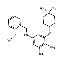 C[C@]1(N)CC[C@@H](Cc2nc(NCc3ccccc3OC(F)(F)F)nc(N)c2[N+](=O)[O-])CC1